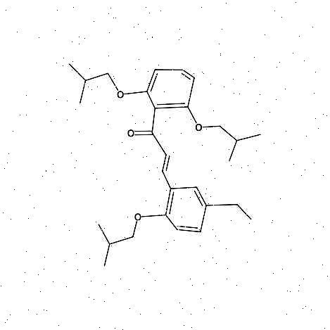 CCc1ccc(OCC(C)C)c(C=CC(=O)c2c(OCC(C)C)cccc2OCC(C)C)c1